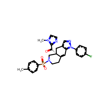 Cc1ccc(S(=O)(=O)N2CCC3=Cc4c(cnn4-c4ccc(F)cc4)C[C@]3(C(=O)c3nccn3C)C2)cc1